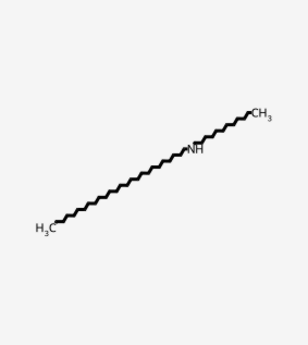 CCCCCCCCCCCCCCCCCCCCCCCCCCNCCCCCCCCCCCC